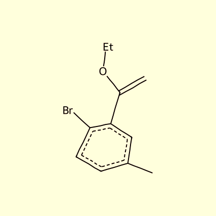 C=C(OCC)c1cc(C)ccc1Br